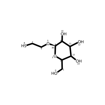 OCC1O[C@@H](OCCS)C(O)C(O)C1O